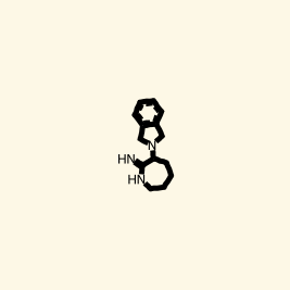 N=C1NCCCCC1N1Cc2ccccc2C1